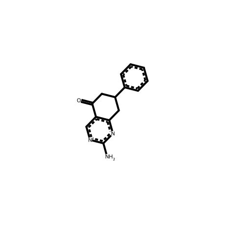 Nc1ncc2c(n1)CC(c1ccccc1)CC2=O